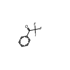 O=C(c1ccccc1)C(F)(F)I